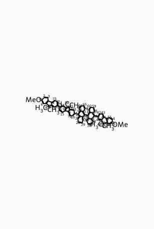 COc1ccc2c(c1)C(C)(C)c1cc(-c3ccc4c(c3)C(C)(C)c3cc(-c5c6ccccc6c(-c6c7ccccc7c(-c7ccc8c(c7)C(C)(C)c7cc(OC)ccc7-8)c7ccccc67)c6ccccc56)ccc3-4)ccc1-2